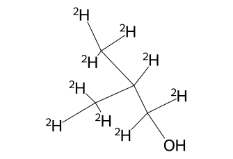 [2H]C([2H])([2H])C([2H])(C([2H])([2H])[2H])C([2H])([2H])O